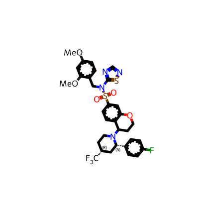 COc1ccc(CN(c2ncns2)S(=O)(=O)c2ccc3c(c2)OCCC3N2CC[C@@H](C(F)(F)F)C[C@H]2c2ccc(F)cc2)c(OC)c1